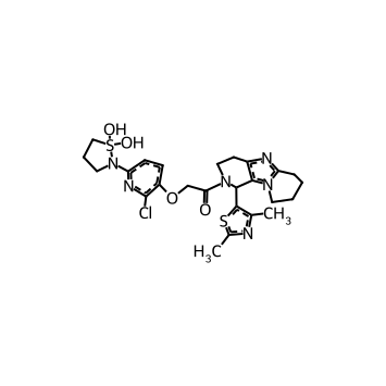 Cc1nc(C)c(C2c3c(nc4n3CCCC4)CCN2C(=O)COc2ccc(N3CCCS3(O)O)nc2Cl)s1